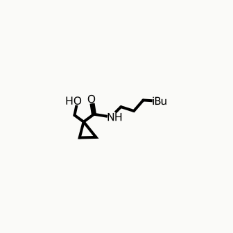 CCC(C)CCCNC(=O)C1(CO)CC1